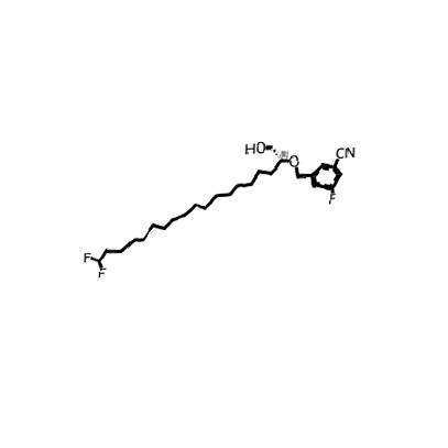 N#Cc1cc(F)cc(CO[C@@H](CO)CCCCCCCCCCCCCCCCC(F)F)c1